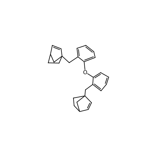 C1=CC2(Cc3ccccc3Oc3ccccc3CC34C=CC(CC3)C4)CCC1C2